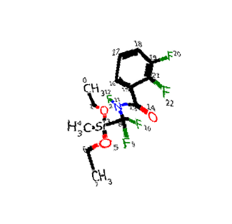 CCO[Si](C)(OCC)C(F)(F)N(F)C(=O)c1cccc(F)c1F